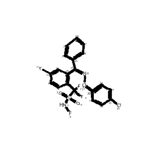 O=S(=O)(NF)C(F)(F)c1ccc(F)cc1/C(=N\Oc1ccc(Cl)cc1)c1ccccc1